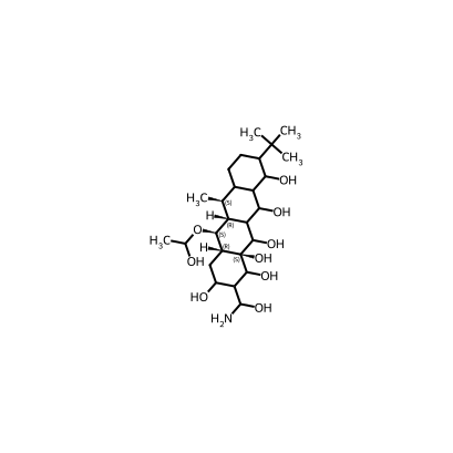 CC(O)O[C@H]1[C@H]2C(C(O)C3C(O)C(C(C)(C)C)CCC3[C@@H]2C)C(O)[C@]2(O)C(O)C(C(N)O)C(O)C[C@H]12